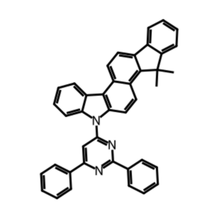 CC1(C)c2ccccc2-c2ccc3c(ccc4c3c3ccccc3n4-c3cc(-c4ccccc4)nc(-c4ccccc4)n3)c21